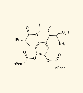 CCCCCC(=O)Oc1ccc(C(C(C)C(C)OC(=O)C(C)C(C)C)[C@H](N)C(=O)O)cc1OC(=O)CCCCC